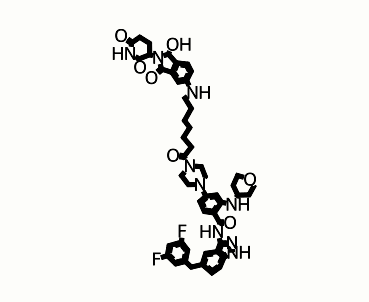 O=C1CCC(N2C(=O)c3cc(NCCCCCCC(=O)N4CCN(c5ccc(C(=O)Nc6n[nH]c7ccc(Cc8cc(F)cc(F)c8)cc67)c(NC6CCOCC6)c5)CC4)ccc3C2O)C(=O)N1